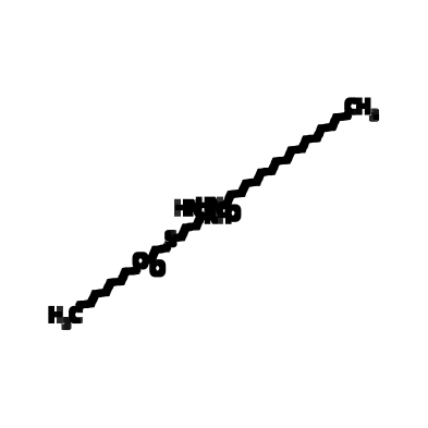 CCCCCCCCCCCCCCCCCC(=O)NNC(=N)CCCSCCC(=O)OCCCCCCCCC